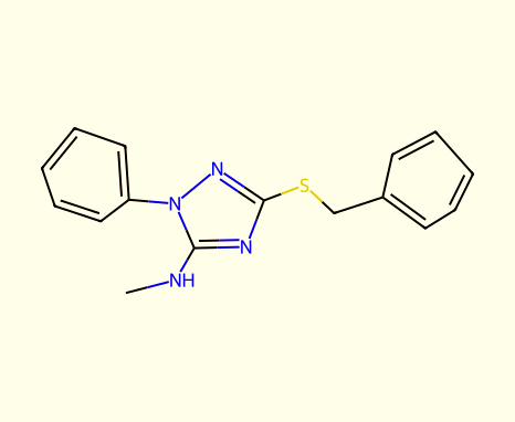 CNc1nc(SCc2ccccc2)nn1-c1ccccc1